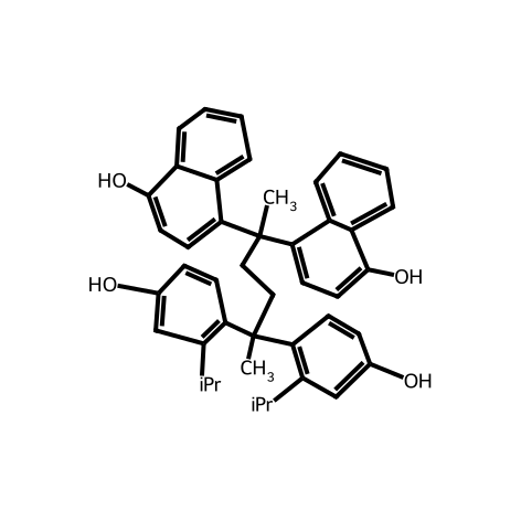 CC(C)c1cc(O)ccc1C(C)(CCC(C)(c1ccc(O)c2ccccc12)c1ccc(O)c2ccccc12)c1ccc(O)cc1C(C)C